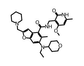 CCN(c1cc2oc(CN3CCCCC3)cc2c(C(=O)NCc2c(OC)cc(C)[nH]c2=O)c1C)C1CCOCC1